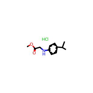 COC(=O)CNc1ccc(C(C)C)cc1.Cl